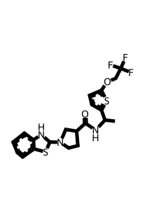 CC(NC(=O)C1CCN(C2Nc3ccccc3S2)C1)c1ccc(OCC(F)(F)F)s1